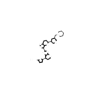 Cc1ccc(-c2ccnc3[nH]c(-c4n[nH]c5ccc(-c6cncc(CN7CCCCC7)c6)nc45)nc23)s1